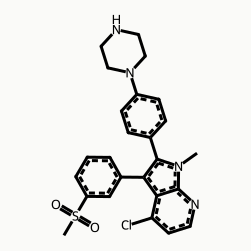 Cn1c(-c2ccc(N3CCNCC3)cc2)c(-c2cccc(S(C)(=O)=O)c2)c2c(Cl)ccnc21